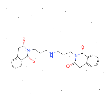 O=C1Cc2ccccc2C(=O)N1CCCNCCCN1C(=O)Cc2ccccc2C1=O